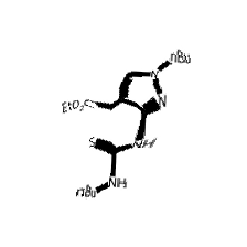 CCCCNC(=S)Nc1nn(CCCC)cc1C(=O)OCC